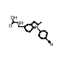 Cc1cc2cc(CNC(=O)O)ccc2n1-c1ccc(C#N)cc1